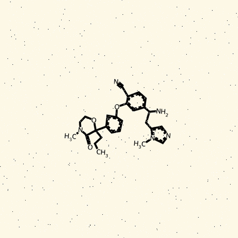 CCCC1(c2cccc(Oc3cc(C(N)Cc4cncn4C)ccc3C#N)c2)OCCN(C)C1=O